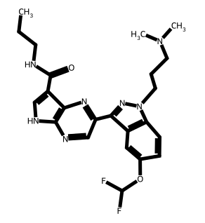 CCCNC(=O)c1c[nH]c2ncc(-c3nn(CCCN(C)C)c4ccc(OC(F)F)cc34)nc12